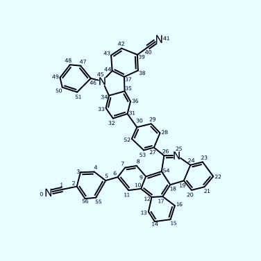 N#Cc1ccc(-c2ccc3c(c2)c2ccccc2c2c4ccccc4nc(-c4ccc(-c5ccc6c(c5)c5cc(C#N)ccc5n6-c5ccccc5)cc4)c32)cc1